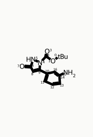 CC(C)(C)OC(=O)n1[nH]c(=O)cc1-c1cccc(N)c1